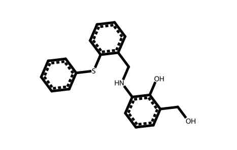 OCc1cccc(NCc2ccccc2Sc2ccccc2)c1O